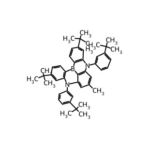 Cc1cc2c3c(c1)N(c1cccc(C(C)(C)C)c1)c1cc(C(C)(C)C)ccc1B3c1ccc(C(C)(C)C)cc1N2c1cccc(C(C)(C)C)c1